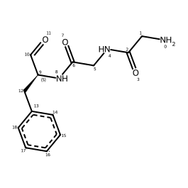 NCC(=O)NCC(=O)N[C@H](C=O)Cc1cc[c]cc1